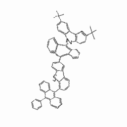 CC(C)(C)c1ccc2c(c1)c1cc(C(C)(C)C)ccc1n2-c1c2ccccc2c(-c2ccc3sc4c(-c5c6ccccc6c(-c6ccccc6)c6ccccc56)cccc4c3c2)c2ccccc12